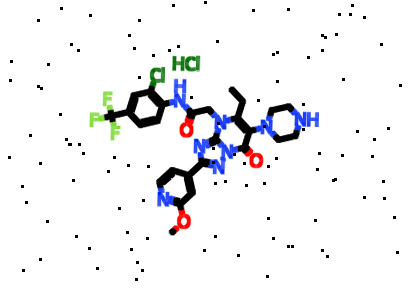 CCc1c(N2CCNCC2)c(=O)n2nc(-c3ccnc(OC)c3)nc2n1CC(=O)Nc1ccc(C(F)(F)F)cc1Cl.Cl